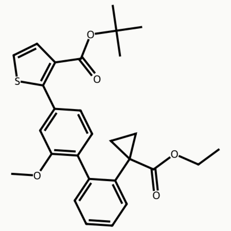 CCOC(=O)C1(c2ccccc2-c2ccc(-c3sccc3C(=O)OC(C)(C)C)cc2OC)CC1